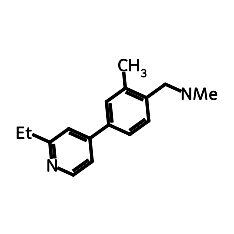 CCc1cc(-c2ccc(CNC)c(C)c2)ccn1